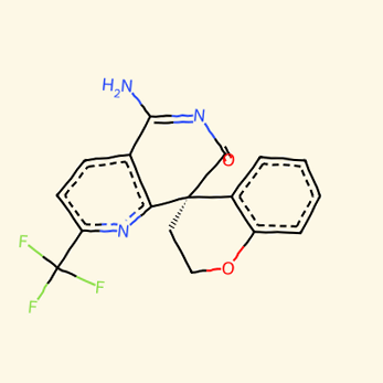 NC1=NC(=O)[C@]2(CCOc3ccccc32)c2nc(C(F)(F)F)ccc21